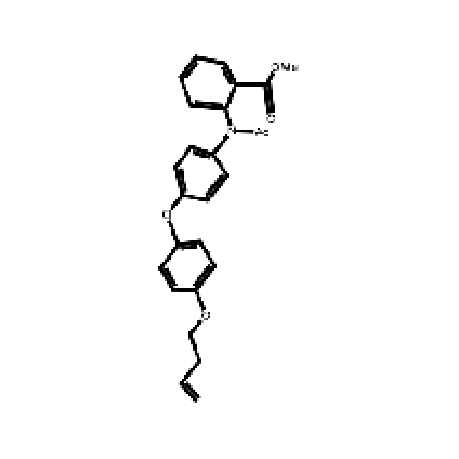 C=CCCOc1ccc(Oc2ccc(N(C(C)=O)c3ccccc3C(=O)OC)cc2)cc1